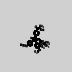 COc1ccc(-c2[nH]c(C3CCN(C(=O)N(C)O)CC3)c(CC(=O)OC(C)(C)C)c2-c2ccc(OC)cc2)cc1